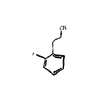 N#CCCc1ccccc1F